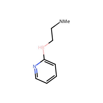 CNCCBc1ccccn1